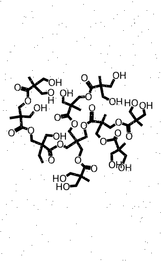 CCC(CO)(COC(=O)C(C)(CO)COC(=O)C(C)(CO)CO)C(=O)OCC(COC(=O)C(C)(CO)CO)(COC(=O)C(C)(CO)COC(=O)C(C)(CO)CO)COC(=O)C(C)(COC(=O)C(C)(CO)CO)COC(=O)C(C)(CO)CO